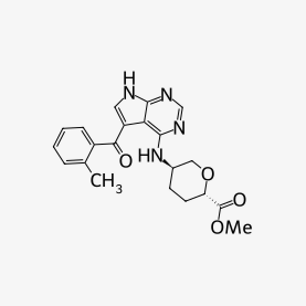 COC(=O)[C@@H]1CC[C@@H](Nc2ncnc3[nH]cc(C(=O)c4ccccc4C)c23)CO1